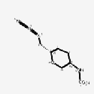 [N-]=[N+]=NC[C@@H]1CC[C@@H](NC(=O)O)CO1